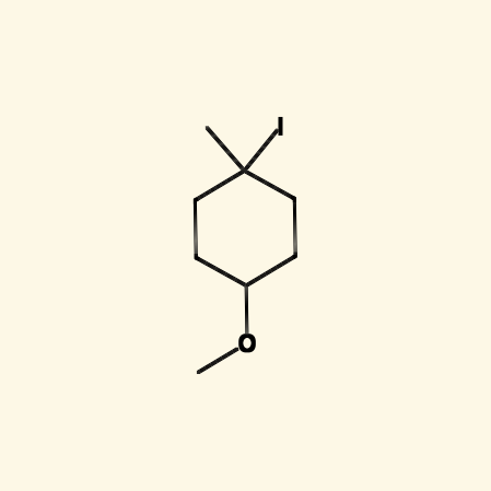 COC1CCC(C)(I)CC1